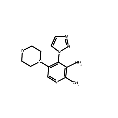 Cc1ncc(N2CCOCC2)c(-n2ccnn2)c1N